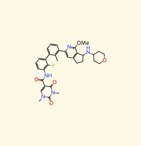 COc1nc(-c2cccc(-c3cccc(NC(=O)c4cn(C)c(=O)n(C)c4=O)c3F)c2C)cc2c1C(NC1CCOCC1)CC2